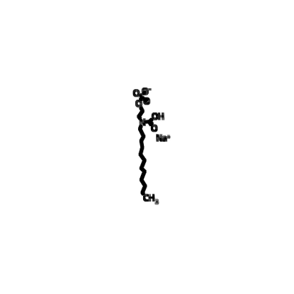 CCCCCCCCCCCCN(CCOS(=O)(=O)[O-])C(=O)O.[Na+]